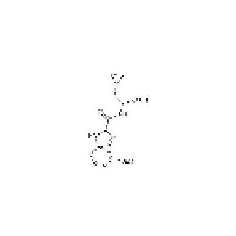 COc1cccc2[nH]c(C(=O)NC(CC3CC3)C(=O)O)cc12